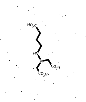 O=C(O)CCCNN(CC(=O)O)CC(=O)O